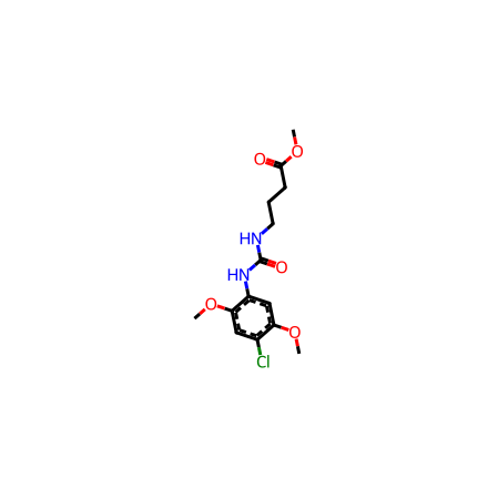 COC(=O)CCCNC(=O)Nc1cc(OC)c(Cl)cc1OC